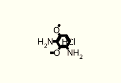 COc1ccc(N)c(OC)c1N.Cl